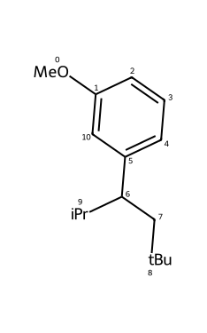 COc1cccc(C(CC(C)(C)C)C(C)C)c1